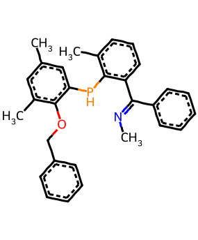 C/N=C(\c1ccccc1)c1cccc(C)c1Pc1cc(C)cc(C)c1OCc1ccccc1